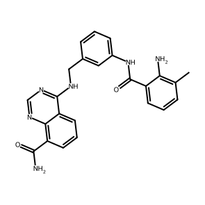 Cc1cccc(C(=O)Nc2cccc(CNc3ncnc4c(C(N)=O)cccc34)c2)c1N